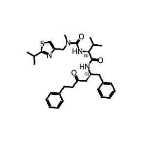 CC(C)c1nc(CN(C)C(=O)N[C@H](C(=O)N[C@H](CC(=O)CCc2ccccc2)Cc2ccccc2)C(C)C)cs1